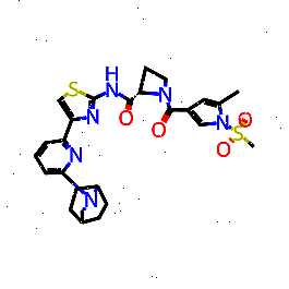 Cc1cc(C(=O)N2CC[C@H]2C(=O)Nc2nc(-c3cccc(N4CC5CCC4CC5)n3)cs2)cn1S(C)(=O)=O